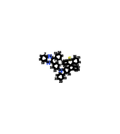 c1ccc(-c2nc3ccccc3nc2-c2ccc(-n3c4ccccc4c4cc5c(cc43)C3(c4ccccc4Sc4ccccc43)c3ccccc3-5)cc2)cc1